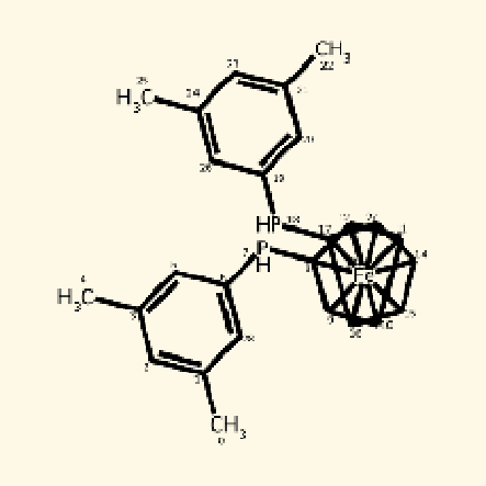 Cc1cc(C)cc(P[C]23[CH]4[CH]5[CH]6[CH]2[Fe]56432789[CH]3[CH]2[CH]7[C]8(Pc2cc(C)cc(C)c2)[CH]39)c1